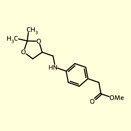 COC(=O)Cc1ccc(NCC2COC(C)(C)O2)cc1